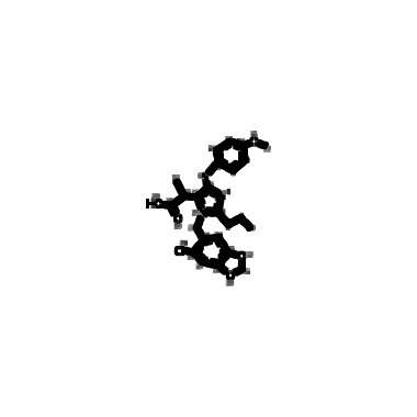 CCCc1nc(Sc2ccc(OC)cc2)c(C(C)C(=O)O)n1Cc1cc2c(cc1Cl)OCO2